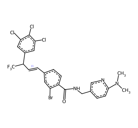 CN(C)c1ccc(CNC(=O)c2ccc(/C=C/C(c3cc(Cl)c(Cl)c(Cl)c3)C(F)(F)F)cc2Br)cn1